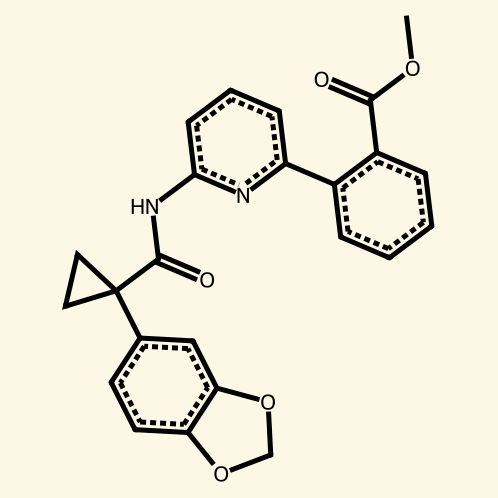 COC(=O)c1ccccc1-c1cccc(NC(=O)C2(c3ccc4c(c3)OCO4)CC2)n1